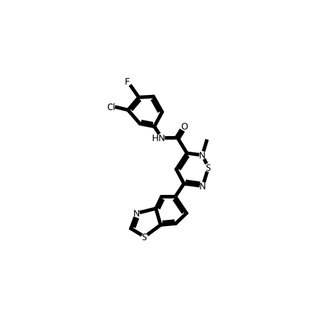 CN1SN=C(c2ccc3scnc3c2)C=C1C(=O)Nc1ccc(F)c(Cl)c1